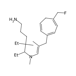 CCC(N(C)/C=C(\C)CC1=CC=C(CF)CC=C1)C(C)(CC)CCCN